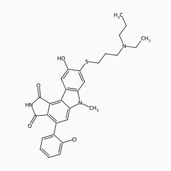 CCCN(CC)CCCSc1cc2c(cc1O)c1c3c(c(-c4ccccc4Cl)cc1n2C)C(=O)NC3=O